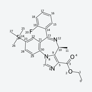 CCOC(=O)c1ncn2c1[C@H](C)N=C(c1ccccc1F)c1cc([Si](C)(C)C)ccc1-2